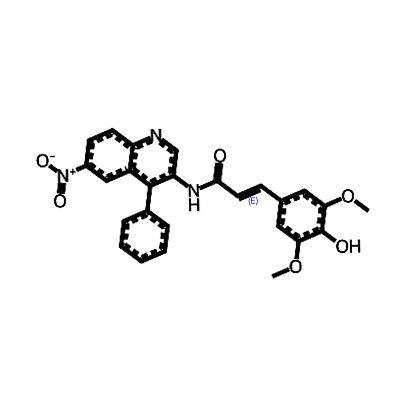 COc1cc(/C=C/C(=O)Nc2cnc3ccc([N+](=O)[O-])cc3c2-c2ccccc2)cc(OC)c1O